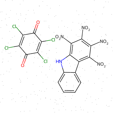 O=C1C(Cl)=C(Cl)C(=O)C(Cl)=C1Cl.O=[N+]([O-])c1c([N+](=O)[O-])c([N+](=O)[O-])c2c([nH]c3ccccc32)c1[N+](=O)[O-]